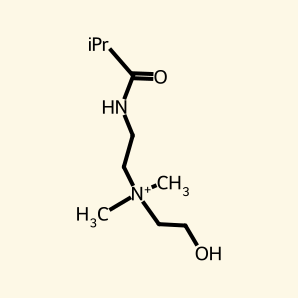 CC(C)C(=O)NCC[N+](C)(C)CCO